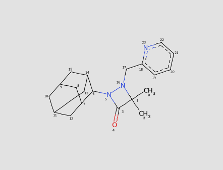 CC1(C)C(=O)N(C2C3CC4CC(C3)CC2C4)N1Cc1ccccn1